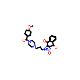 COc1ccc(C(=O)N2CCN(CCCN3C4=C(C(=O)c5ccccc5C4=O)[NH+]3[O-])CC2)cc1